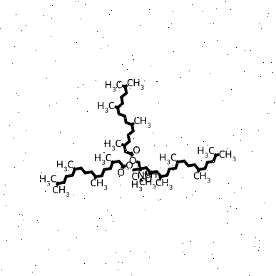 CC(C)CCCC(C)CCCC(C)CCCC(C)CC(=O)CC(COC(=O)CC(C)CCCC(C)CCCC(C)CCCC(C)C)(COC(=O)CC(C)CCCC(C)CCCC(C)CCCC(C)C)[N+](C)(C)C